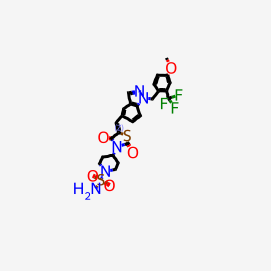 COc1ccc(Cn2ncc3cc(/C=C4\SC(=O)N(C5CCN(S(N)(=O)=O)CC5)C4=O)ccc32)c(C(F)(F)F)c1